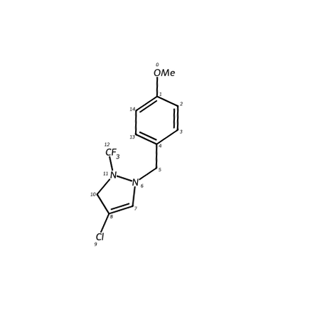 COc1ccc(CN2C=C(Cl)CN2C(F)(F)F)cc1